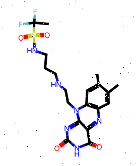 Cc1cc2nc3c(=O)[nH]c(=O)nc-3n(CCNCCCNS(=O)(=O)C(C)(F)F)c2cc1C